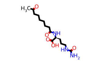 CC(=O)CCCCCCC(=O)N[C@@H](CCCNC(N)=O)C(=O)O